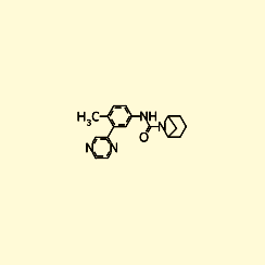 Cc1ccc(NC(=O)N2C3CCCC2C3)cc1-c1cnccn1